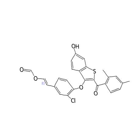 Cc1ccc(C(=O)c2sc3cc(O)ccc3c2Oc2ccc(/C=C/OC=O)cc2Cl)c(C)c1